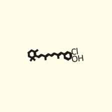 CC1=C(/C=C/C(C)=C/C=C/C(C)=C/c2ccc(O)c(Cl)c2)C(C)(C)CCC1